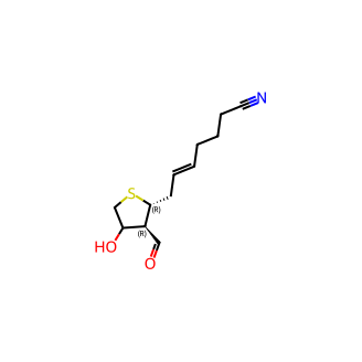 N#CCCCC=CC[C@H]1SCC(O)[C@@H]1C=O